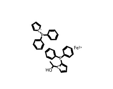 CC(O)[c-]1cccc1P(c1ccccc1)c1ccccc1.[Fe+2].c1ccc(P(c2ccccc2)[c-]2cccc2)cc1